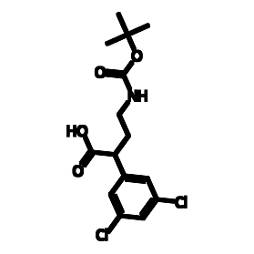 CC(C)(C)OC(=O)NCCC(C(=O)O)c1cc(Cl)cc(Cl)c1